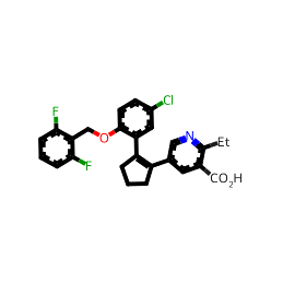 CCc1ncc(C2=C(c3cc(Cl)ccc3OCc3c(F)cccc3F)CCC2)cc1C(=O)O